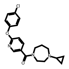 O=C(c1ccc(Oc2ccc(Cl)cc2)nc1)N1CCCN(C2CC2)CC1